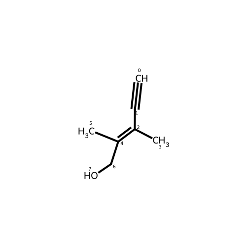 C#C/C(C)=C(\C)CO